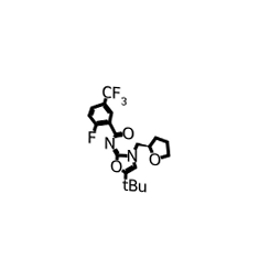 CC(C)(C)c1cn(C[C@H]2CCCO2)c(=NC(=O)c2cc(C(F)(F)F)ccc2F)o1